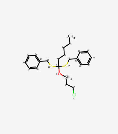 CCCCCC(O[SiH2]CCCl)(SCc1ccccc1)SCc1ccccc1